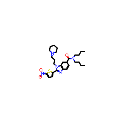 CCCCN(CCCC)C(=O)c1ccc2nc(-c3ccc([N+](=O)[O-])s3)n(CCCN3CCCCC3)c2c1